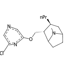 CCC[C@H]1CC2CCC([C@@H]1COc1cncc(Cl)n1)N2C